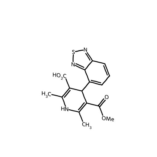 COC(=O)C1=C(C)NC(C)=C(C(=O)O)C1c1cccc2nsnc12